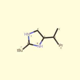 CC(C)C(C)C1CNC(C(C)(C)C)N1